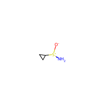 N[S@+]([O-])C1CC1